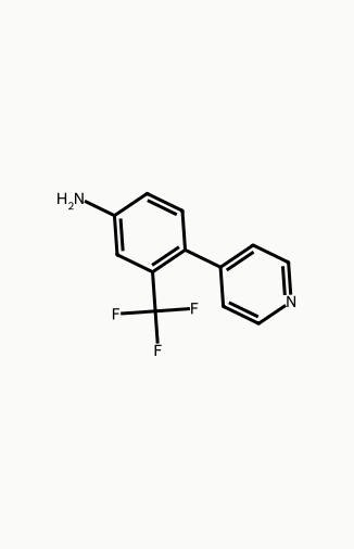 Nc1ccc(-c2ccncc2)c(C(F)(F)F)c1